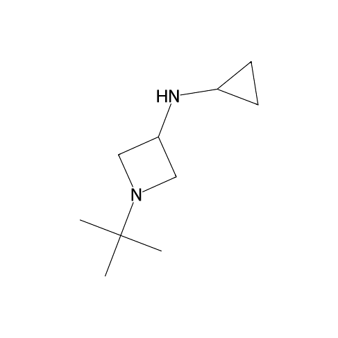 CC(C)(C)N1CC(NC2CC2)C1